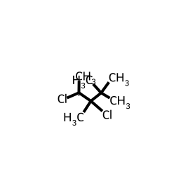 C[C](Cl)C(C)(Cl)C(C)(C)C